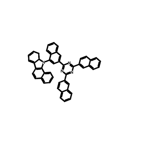 C1=CCC2C(=C1)c1ccc3ccccc3c1N2c1cc(-c2nc(-c3ccc4ccccc4c3)nc(-c3ccc4ccccc4c3)n2)cc2ccccc12